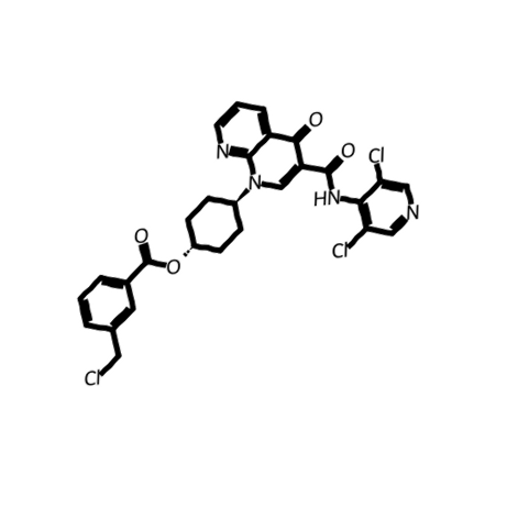 O=C(O[C@H]1CC[C@H](n2cc(C(=O)Nc3c(Cl)cncc3Cl)c(=O)c3cccnc32)CC1)c1cccc(CCl)c1